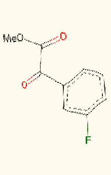 COC(=O)C(=O)c1cccc(F)c1